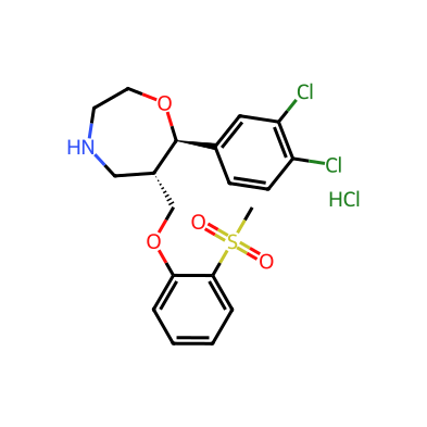 CS(=O)(=O)c1ccccc1OC[C@@H]1CNCCO[C@H]1c1ccc(Cl)c(Cl)c1.Cl